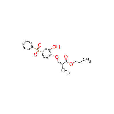 CCCOC(=O)C(C)=COc1ccc(S(=O)(=O)c2ccccc2)cc1O